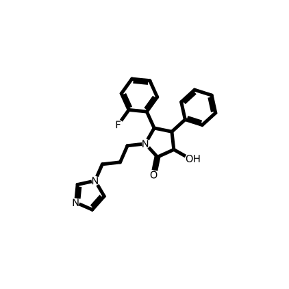 O=C1C(O)C(c2ccccc2)C(c2ccccc2F)N1CCCn1ccnc1